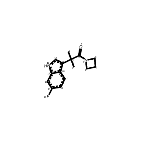 CC(C)(C(=O)N1CCC1)c1c[nH]c2cc(F)ccc12